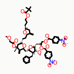 C=C1C[C@H](CCCOC(=O)C(C)(C)C)OC1CC[C@H]1C[C@@](C)(OC(=O)COC)C(=C)C(C[C@@H]2O[C@H](C[C@@H](COC(=O)c3ccc([N+](=O)[O-])cc3)OC(=O)c3ccc([N+](=O)[O-])cc3)[C@H](OC)[C@H]2Cc2ccccc2)O1